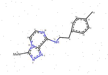 CNc1nnc2c(NCCc3ccc(C)cc3)nccn12